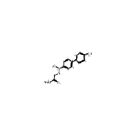 COC(=O)CON(C(C)=O)c1ccc(-c2ccc(C#N)cc2)cc1